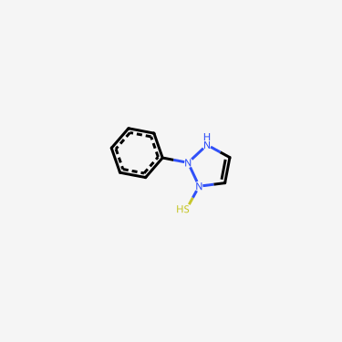 SN1C=CNN1c1ccccc1